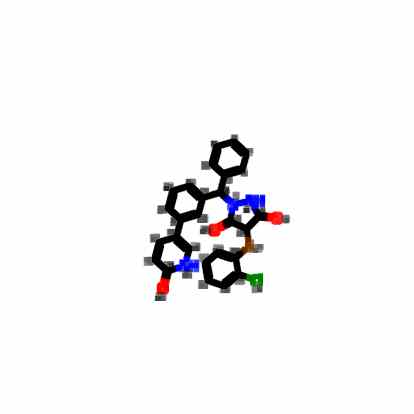 O=C1NN(C(c2ccccc2)c2cccc(-c3ccc(=O)[nH]c3)c2)C(=O)C1Sc1ccccc1Cl